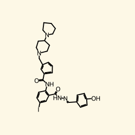 O=C(Nc1ccc(I)cc1C(=O)NN=Cc1ccc(O)cc1)c1cccc(CN2CCC(N3CCCCC3)CC2)c1